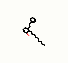 CCCCCCCCCc1c(O)cccc1CCc1ccccc1